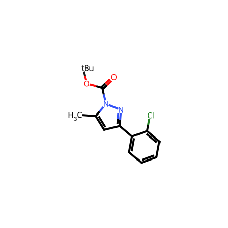 Cc1cc(-c2ccccc2Cl)nn1C(=O)OC(C)(C)C